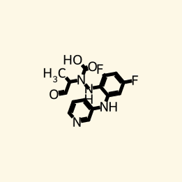 CC(C=O)N(Nc1c(F)cc(F)cc1Nc1cccnc1)C(=O)O